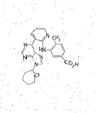 Cc1ccc(C(=O)O)cc1Nc1ncccc1-c1ncnc2c1ncn2C1CCCCO1